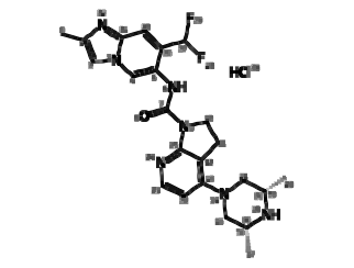 Cc1cn2cc(NC(=O)N3CCc4c(N5C[C@@H](C)N[C@@H](C)C5)ccnc43)c(C(F)F)cc2n1.Cl